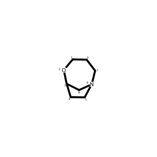 C1COC2CCN(C1)C2